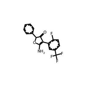 NC1=C(c2cc(C(F)(F)F)ccc2F)C(=O)C(c2ccccc2)O1